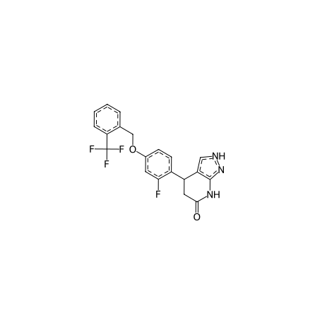 O=C1CC(c2ccc(OCc3ccccc3C(F)(F)F)cc2F)c2c[nH]nc2N1